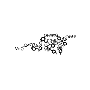 CCOC(=O)[C@@H](Cc1cc(O)ccc1OCc1ccnc(-c2ccccc2OCCOCCOCCOC)n1)Oc1ncnc2sc(-c3ccc(F)cc3)c(-c3ccc(O[C@H](COC(c4ccccc4)(c4ccc(OC)cc4)c4ccc(OC)cc4)COS(=O)(=O)c4ccc(C)cc4)c(Cl)c3C)c12